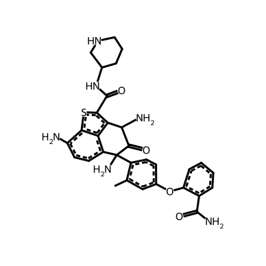 Cc1cc(Oc2ccccc2C(N)=O)ccc1C1(N)C(=O)C(N)c2c(C(=O)NC3CCCNC3)sc3c(N)ccc1c23